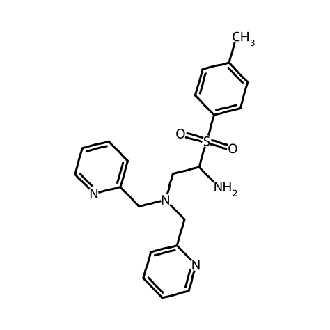 Cc1ccc(S(=O)(=O)C(N)CN(Cc2ccccn2)Cc2ccccn2)cc1